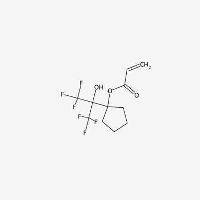 C=CC(=O)OC1(C(O)(C(F)(F)F)C(F)(F)F)CCCC1